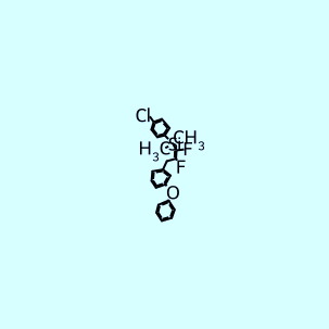 C[Si](C)(/C(F)=C(/F)Cc1cccc(Oc2ccccc2)c1)c1ccc(Cl)cc1